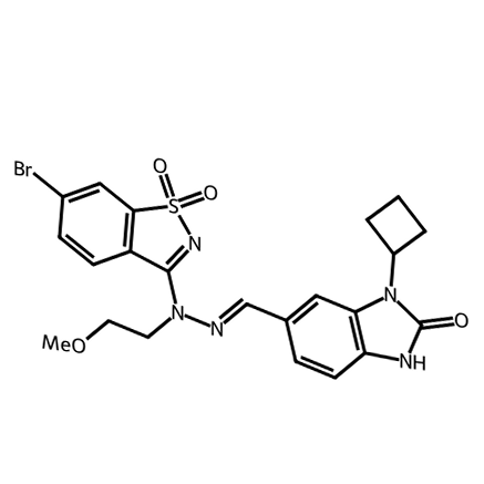 COCCN(/N=C/c1ccc2[nH]c(=O)n(C3CCC3)c2c1)C1=NS(=O)(=O)c2cc(Br)ccc21